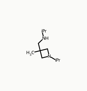 CC(C)NCC1(C)CN(C(C)C)C1